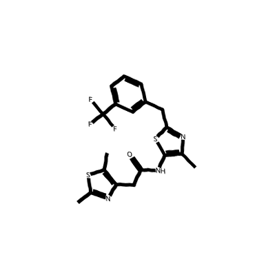 Cc1nc(CC(=O)Nc2sc(Cc3cccc(C(F)(F)F)c3)nc2C)c(C)s1